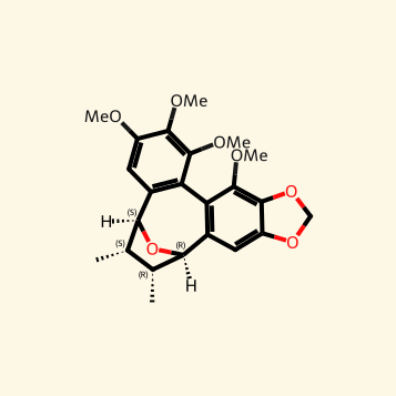 COc1cc2c(c(OC)c1OC)-c1c(cc3c(c1OC)OCO3)[C@@H]1O[C@H]2[C@@H](C)[C@H]1C